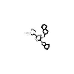 CC(C)C[C@@H](CC(=O)O)C(=O)N[C@@H](Cc1ccc2ccccc2c1)C(=O)N1Cc2ccccc2C1